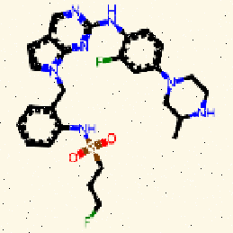 CC1CN(c2ccc(Nc3ncc4ccn(Cc5ccccc5NS(=O)(=O)CCCF)c4n3)c(F)c2)CCN1